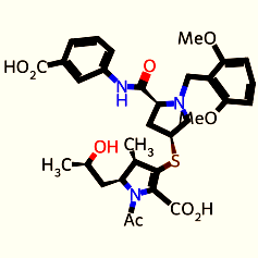 COc1cccc(OC)c1CN1C[C@@H](SC2=C(C(=O)O)N(C(C)=O)[C@@H](C[C@@H](C)O)[C@H]2C)C[C@H]1C(=O)Nc1cccc(C(=O)O)c1